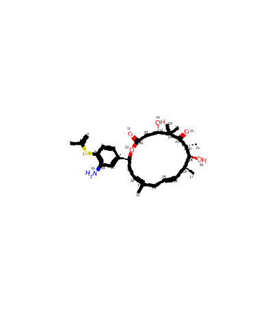 C=C(C)Sc1ccc([C@@H]2C/C=C(/C)C/C=C/[C@H](C)[C@H](O)[C@@H](C)C(=O)C(C)(C)[C@@H](O)CC(=O)O2)cc1N